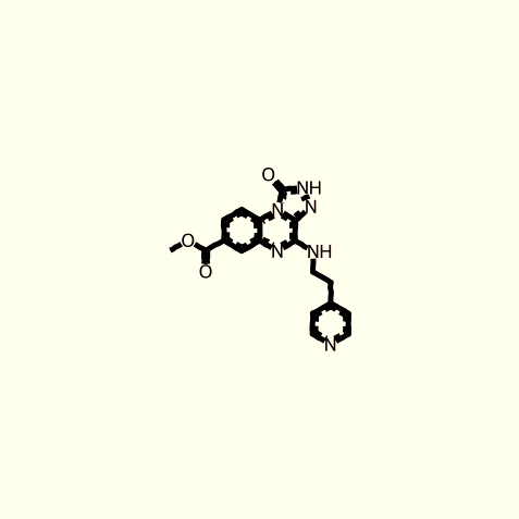 COC(=O)c1ccc2c(c1)nc(NCCc1ccncc1)c1n[nH]c(=O)n12